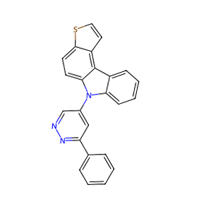 c1ccc(-c2cc(-n3c4ccccc4c4c5ccsc5ccc43)cnn2)cc1